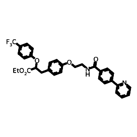 CCOC(=O)C(Cc1ccc(OCCNC(=O)c2ccc(-c3ccccn3)cc2)cc1)Oc1ccc(C(F)(F)F)cc1